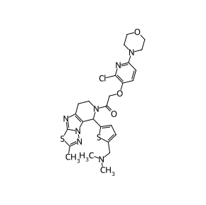 Cc1nn2c3c(nc2s1)CCN(C(=O)COc1ccc(N2CCOCC2)nc1Cl)C3c1ccc(CN(C)C)s1